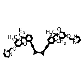 Cc1cc(C#CC2CC2C2CC2C#Cc2cccc([C@@H](C)n3c(C)cc(OCc4ncccn4)cc3=O)c2)ccc1[C@@H](C)n1ccc(OCc2ncccn2)cc1=O